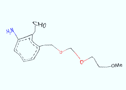 COCCOCOCc1cccc(N)c1C=O